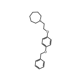 c1ccc(COc2ccc(OCCN3CCCCCC3)cc2)cc1